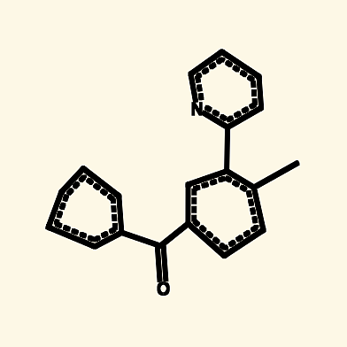 Cc1ccc(C(=O)c2ccccc2)cc1-c1ccccn1